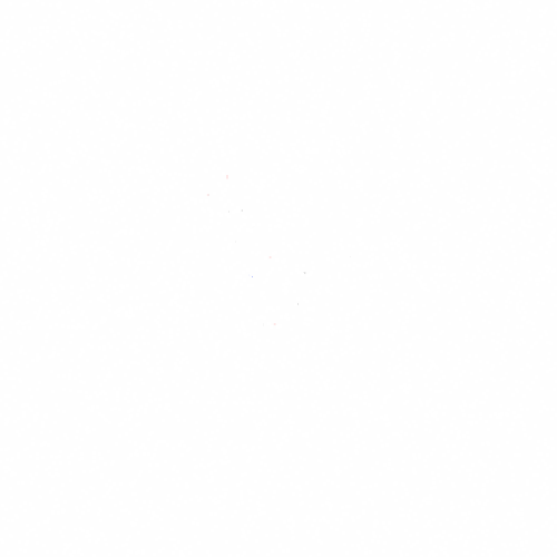 CCOC(=O)CC(NC(=O)c1ccc(C(=O)O)cc1)c1ccc(OC)c(OC)c1